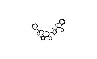 O=C1c2ccccc2OC1c1csc(N(CCCC(=O)N2CCCCC2)C(=O)c2cccs2)n1